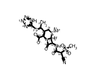 CC(Sc1nnn[nH]1)C1=C(C(=O)[O-])N2C(=O)C(NC(=O)C(C#N)S(C)(=O)=O)[C@@H]2SC1.[Na+]